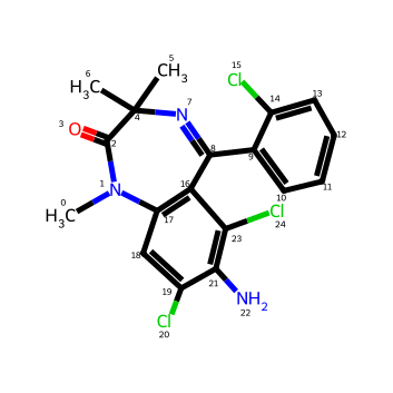 CN1C(=O)C(C)(C)N=C(c2ccccc2Cl)c2c1cc(Cl)c(N)c2Cl